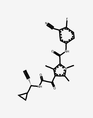 C#C[C@H](NC(=O)C(=O)c1c(C)c(C(=O)Nc2ccc(F)c(C#N)c2)n(C)c1C)C1CC1